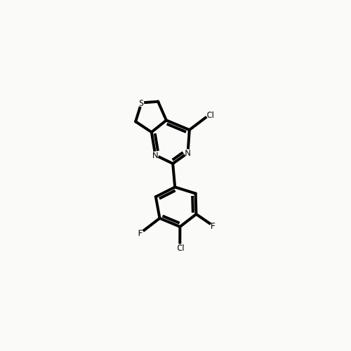 Fc1cc(-c2nc(Cl)c3c(n2)CSC3)cc(F)c1Cl